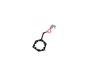 CC(C)OCc1c[c]ccc1